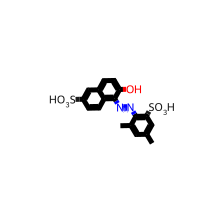 Cc1cc(C)c(/N=N/c2c(O)ccc3cc(S(=O)(=O)O)ccc23)c(S(=O)(=O)O)c1